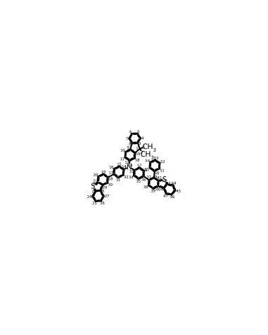 CC1(C)c2ccccc2-c2ccc(N(c3ccc(-c4ccc5sc6ccccc6c5c4)cc3)c3ccc(-c4ccc5c(sc6ccccc65)c4-c4ccccc4)cc3)cc21